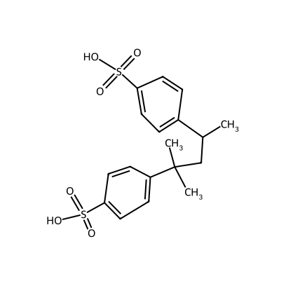 CC(CC(C)(C)c1ccc(S(=O)(=O)O)cc1)c1ccc(S(=O)(=O)O)cc1